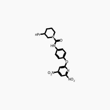 CCCC1CCCN(C(=O)Nc2ccc(Oc3cc([N+](=O)[O-])cc([N+](=O)[O-])n3)cc2)C1